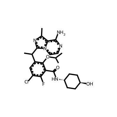 Cc1nc(C(C)c2cc(Cl)c(F)c(C(=O)N[C@H]3CC[C@H](O)CC3)c2OC(C)C)n2ccnc(N)c12